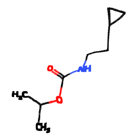 CC(C)OC(=O)NCCC1CC1